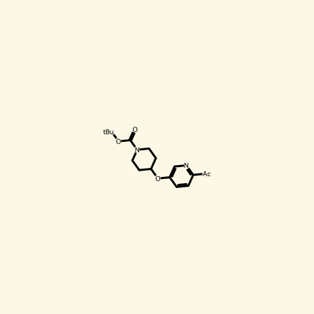 CC(=O)c1ccc(OC2CCN(C(=O)OC(C)(C)C)CC2)cn1